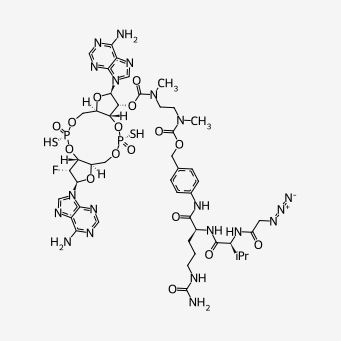 CC(C)[C@H](NC(=O)CN=[N+]=[N-])C(=O)N[C@@H](CCCNC(N)=O)C(=O)Nc1ccc(COC(=O)N(C)CCN(C)C(=O)O[C@@H]2[C@@H]3O[P@](=O)(S)OC[C@H]4O[C@@H](n5cnc6c(N)ncnc65)[C@H](F)[C@@H]4O[P@](=O)(S)OC[C@H]3O[C@H]2n2cnc3c(N)ncnc32)cc1